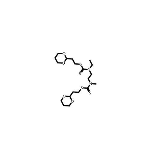 CCN(CCN(C)C(=S)SCCC1OCCCO1)C(=S)SCCC1OCCCO1